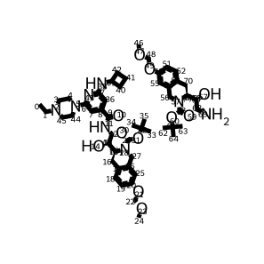 CCN1CCN(c2cc(C(=O)NC[C@@H](O)[C@@H]3Cc4ccc(OCOC)cc4CN3C(=O)OC(C)(C)C)cc(NC3CCC3)n2)CC1.COCOc1ccc2c(c1)CN(C(=O)OC(C)(C)C)[C@H]([C@H](O)CN)C2